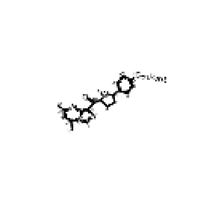 CCCCCOc1ccc(C2CCC(C(=O)c3ncn4c(C)cc(C)nc34)N2)cc1